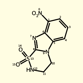 O=[N+]([O-])c1cccc2c1nc1n2CCNS1(=O)=O